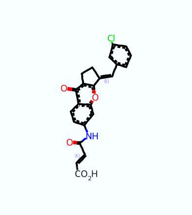 O=C(O)/C=C/C(=O)Nc1ccc2c(=O)c3c(oc2c1)/C(=C/c1cccc(Cl)c1)CC3